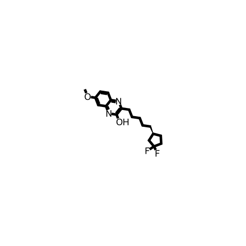 COc1ccc2nc(CCCCC[C@H]3CCC(F)(F)C3)c(O)nc2c1